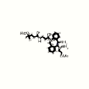 COCCN(N)/C1=C(\N)c2ccccc2N(C(=O)CCNC(=O)CCC(C)(C)OC)Cc2ccccc21